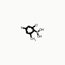 Cc1cc(F)cc(Cl)c1B(O)O